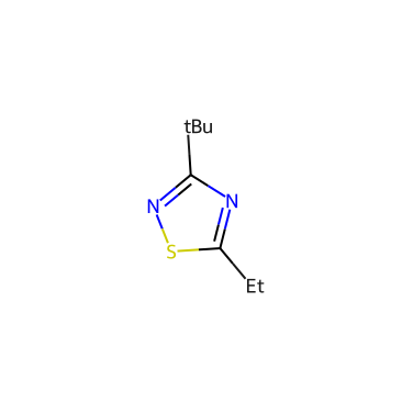 CCc1nc(C(C)(C)C)ns1